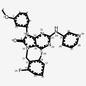 COc1cccc(-n2c(=O)n(Cc3c(F)cccc3F)c3cnc(Nc4cccnc4)nc32)c1